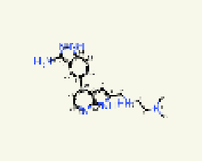 CN(C)CCNCc1cc2c(-c3ccc4[nH]nc(N)c4c3)ccnc2[nH]1